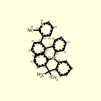 CC1(C)c2ccccc2N(c2ccccc2-c2ccccc2-c2cccnc2C#N)c2ccccc21